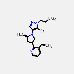 C=Cc1cccnc1C1CC(=C)N(c2cnn(CCNC)c2CC)C1